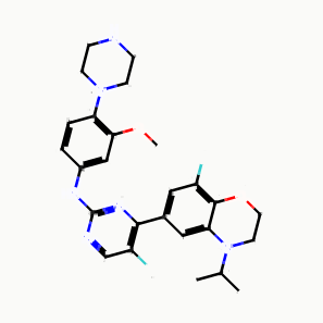 COc1cc(Nc2ncc(F)c(-c3cc(F)c4c(c3)N(C(C)C)CCO4)n2)ccc1N1CCNCC1